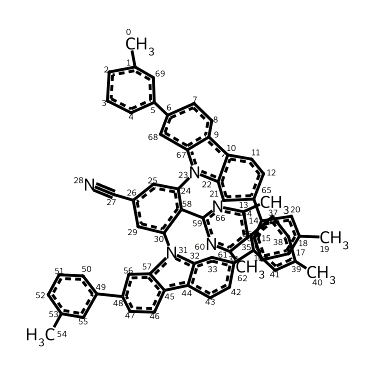 Cc1cccc(-c2ccc3c4ccc(-c5cccc(C)c5)cc4n(-c4cc(C#N)cc(-n5c6cc(-c7cccc(C)c7)ccc6c6ccc(-c7cccc(C)c7)cc65)c4-c4nc(C)cc(C)n4)c3c2)c1